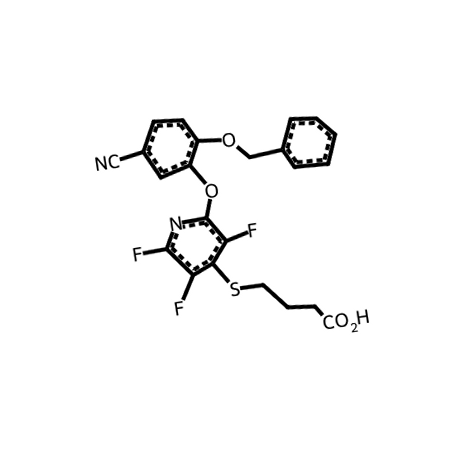 N#Cc1ccc(OCc2ccccc2)c(Oc2nc(F)c(F)c(SCCCC(=O)O)c2F)c1